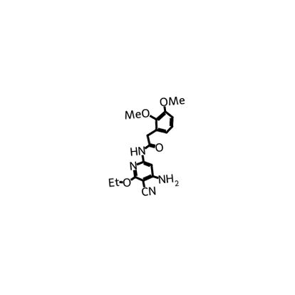 CCOc1nc(NC(=O)Cc2cccc(OC)c2OC)cc(N)c1C#N